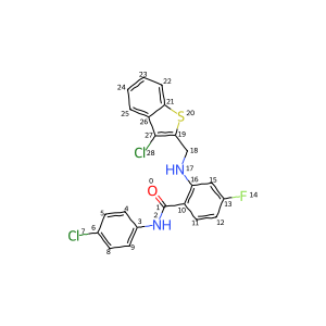 O=C(Nc1ccc(Cl)cc1)c1ccc(F)cc1NCc1sc2ccccc2c1Cl